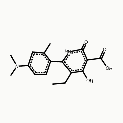 CCc1c(-c2ccc(N(C)C)cc2C)[nH]c(=O)c(C(=O)O)c1O